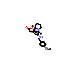 COc1ccc(CN[C@@H]2CC3=CC(=O)O[C@@]34C[C@@H]2N2CCCC[C@@H]24)cc1